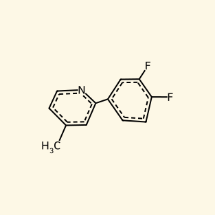 Cc1ccnc(-c2ccc(F)c(F)c2)c1